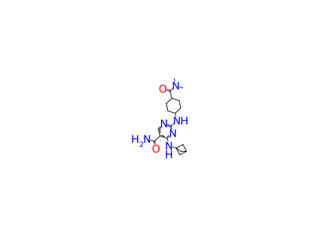 CN(C)C(=O)C1CCC(Nc2ncc(C(N)=O)c(NC34CC(C3)C4)n2)CC1